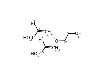 C=C(CC)C(=O)O.C=C(CC)C(=O)O.OCCO